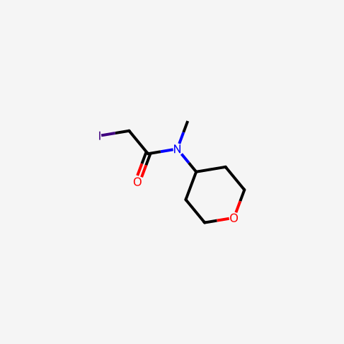 CN(C(=O)CI)C1CCOCC1